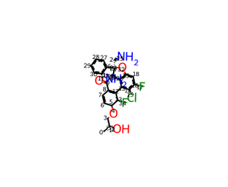 C[C@H](O)COC1C=CC(C(N)=O)=C(c2c(Cl)c(F)cc3c2[C@H](C)[C@@](CN)(c2ccccc2)O3)C1F